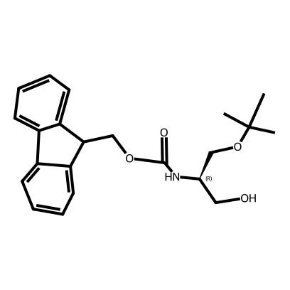 CC(C)(C)OC[C@@H](CO)NC(=O)OCC1c2ccccc2-c2ccccc21